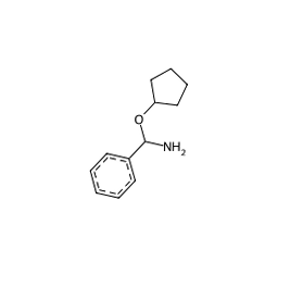 NC(OC1CCCC1)c1ccccc1